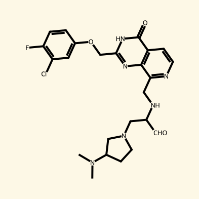 CN(C)C1CCN(CC(C=O)NCc2nccc3c(=O)[nH]c(COc4ccc(F)c(Cl)c4)nc23)C1